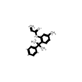 C=CC(=O)Oc1cc(C)ccc1C(C)(C)c1ccccc1